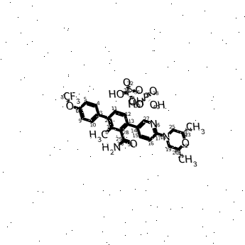 Cc1c(-c2ccc(OC(F)(F)F)cc2)ccc(-c2ccc(N3C[C@@H](C)O[C@@H](C)C3)nc2)c1C(N)=O.O=P(O)(O)OP(=O)(O)O